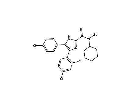 CCN(C(=O)c1nc(-c2ccc(Cl)cc2Cl)c(-c2ccc(Cl)cc2)[nH]1)C1CCCCC1